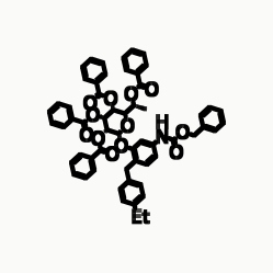 CCc1ccc(Cc2ccc(NC(=O)OCc3ccccc3)cc2O[C@@H]2O[C@H]([C@H](C)OC(=O)c3ccccc3)[C@@H](OC(=O)c3ccccc3)[C@H](OC(=O)c3ccccc3)[C@H]2OC(=O)c2ccccc2)cc1